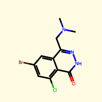 CN(C)Cc1n[nH]c(=O)c2c(Cl)cc(Br)cc12